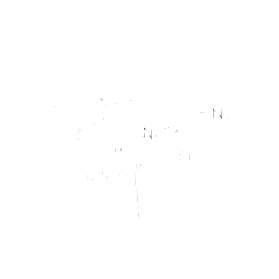 CN(C)CC(=O)N1CCC(C(C)(C)C)=C1C(C)(C)C